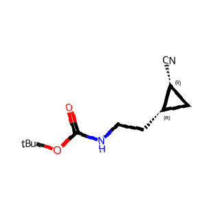 CC(C)(C)OC(=O)NCC[C@H]1C[C@H]1C#N